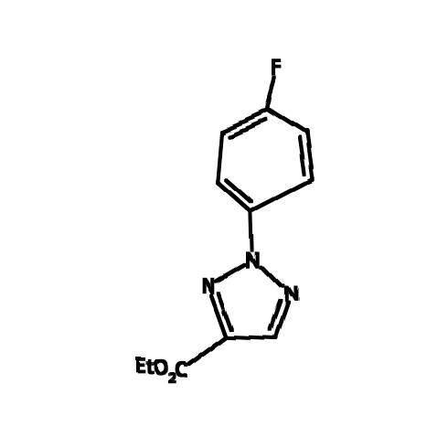 CCOC(=O)c1cnn(-c2ccc(F)cc2)n1